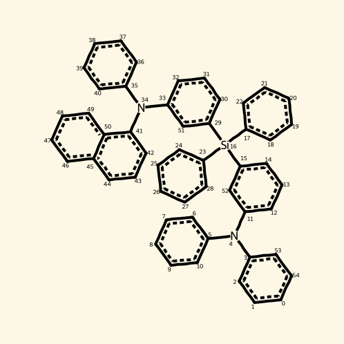 c1ccc(N(c2ccccc2)c2cccc([Si](c3ccccc3)(c3ccccc3)c3cccc(N(c4ccccc4)c4cccc5ccccc45)c3)c2)cc1